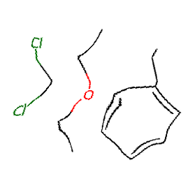 CCOCC.Cc1ccccc1.ClCCl